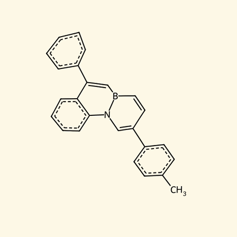 Cc1ccc(C2=CN3B(C=C2)C=C(c2ccccc2)c2ccccc23)cc1